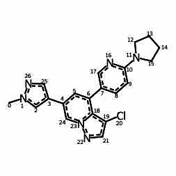 Cn1cc(-c2cc(-c3ccc(N4CCCC4)nc3)c3c(Cl)cnn3c2)cn1